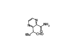 CC(C)(C)C(C=O)c1nccnc1C(N)=O